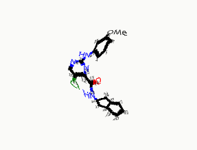 COc1cccc(Nc2ncc(Cl)c(C(=O)NC3Cc4ccccc4C3)n2)c1